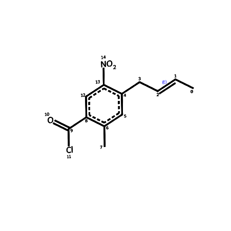 C/C=C/Cc1cc(C)c(C(=O)Cl)cc1[N+](=O)[O-]